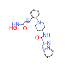 O=C(/C=C/c1ccccc1N1CCC(NC(=O)c2cc3ccccn3n2)CC1)NO